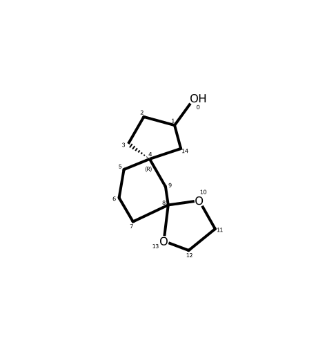 OC1CC[C@]2(CCCC3(C2)OCCO3)C1